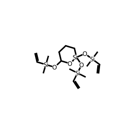 C=C[Si](C)(C)OC1CCC[Si](O[Si](C)(C)C=C)(O[Si](C)(C)C=C)O1